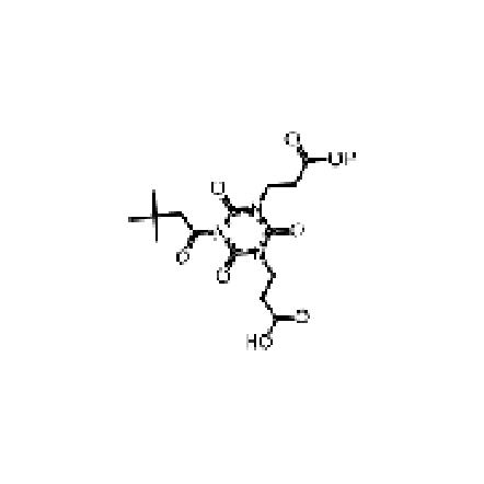 CC(C)(C)CC(=O)n1c(=O)n(CCC(=O)O)c(=O)n(CCC(=O)O)c1=O